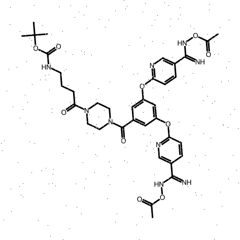 CC(=O)ONC(=N)c1ccc(Oc2cc(Oc3ccc(C(=N)NOC(C)=O)cn3)cc(C(=O)N3CCN(C(=O)CCCNC(=O)OC(C)(C)C)CC3)c2)nc1